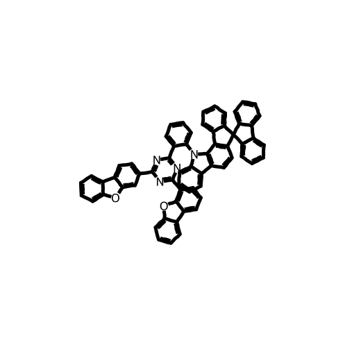 c1ccc(-n2c3ccccc3c3ccc4c(c32)-c2ccccc2C42c3ccccc3-c3ccccc32)c(-c2nc(-c3ccc4c(c3)oc3ccccc34)nc(-c3cccc4c3oc3ccccc34)n2)c1